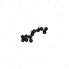 c1ccc(-c2nc(-c3ccc4c(c3)oc3ccc(-c5ccc6c(c5)sc5ccc(-n7c8ccccc8c8ccccc87)cc56)cc34)nc(-c3cccc4c3-c3ccccc3C4(c3ccccc3)c3ccccc3)n2)cc1